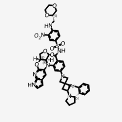 CC(C)c1ccccc1[C@@H]1CCCN1C1CC2(C1)CN(c1ccc(C(=O)NS(=O)(=O)c3ccc(NC[C@H]4COCCO4)c([N+](=O)[O-])c3)c(N3c4cc5cc[nH]c5nc4O[C@@H]4COC[C@H]43)c1)C2